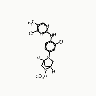 CCc1cc(N2C[C@H]3C[C@@H]2CN3C(=O)O)ccc1Nc1ncc(C(F)(F)F)c(Cl)n1